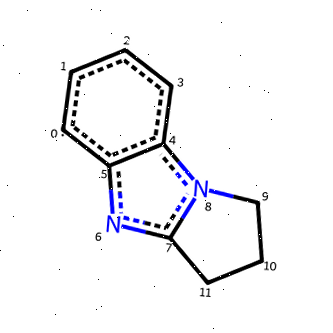 [c]1cccc2c1nc1n2CCC1